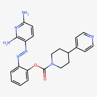 Nc1ccc(/N=N/c2ccccc2OC(=O)N2CCC(c3ccncc3)CC2)c(N)n1